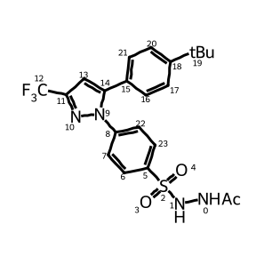 CC(=O)NNS(=O)(=O)c1ccc(-n2nc(C(F)(F)F)cc2-c2ccc(C(C)(C)C)cc2)cc1